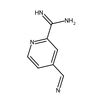 [N]=Cc1ccnc(C(=N)N)c1